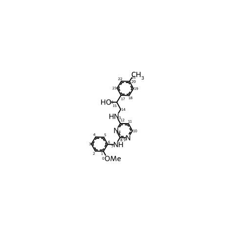 COc1ccccc1Nc1nccc(NCC(O)c2ccc(C)cc2)n1